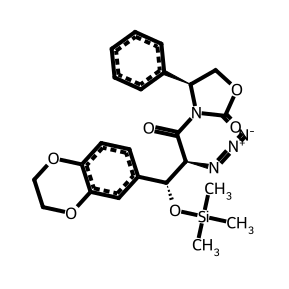 C[Si](C)(C)O[C@H](c1ccc2c(c1)OCCO2)[C@H](N=[N+]=[N-])C(=O)N1C(=O)OC[C@@H]1c1ccccc1